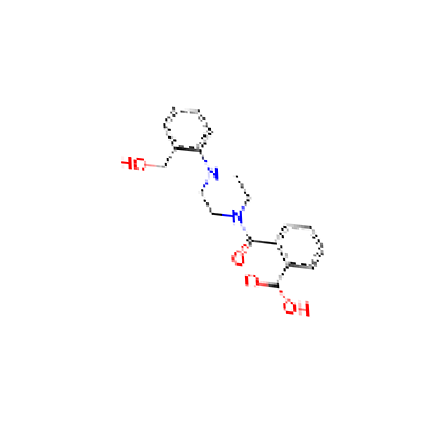 O=C(O)c1ccccc1C(=O)N1CCN(c2ccccc2CO)CC1